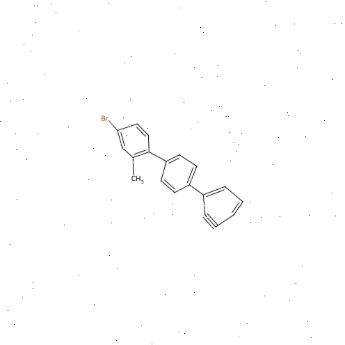 Cc1cc(Br)ccc1-c1ccc(-c2c#cccc2)cc1